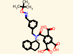 CC(C)(C)O/N=C/c1cccc(CN(C(=O)c2cc(C(=O)O)c(C(=O)O)cc2C(=O)O)[C@H]2CCCc3ccccc32)c1